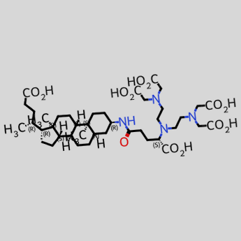 C[C@H](CCC(=O)O)[C@H]1CC[C@H]2[C@@H]3CC[C@@H]4C[C@H](NC(=O)CC[C@@H](C(=O)O)N(CCN(CC(=O)O)CC(=O)O)CCN(CC(=O)O)CC(=O)O)CC[C@]4(C)[C@H]3CC[C@]12C